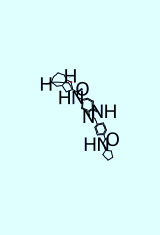 O=C(NC1CCCC1)c1ccc(-c2nc3cc(NC(=O)C45CC6C[C@H](CCC[C@H]6C4)C5)ccc3[nH]2)cc1